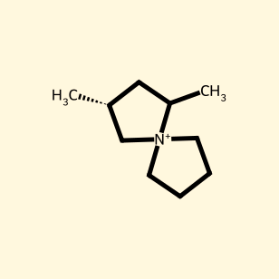 CC1C[C@@H](C)C[N+]12CCCC2